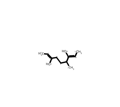 CC=C(O)CCC(C)C(O)=CC